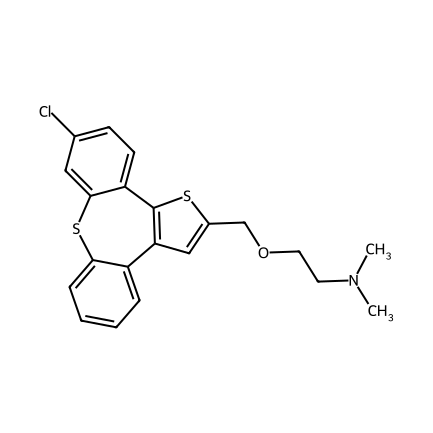 CN(C)CCOCc1cc2c(s1)-c1ccc(Cl)cc1Sc1ccccc1-2